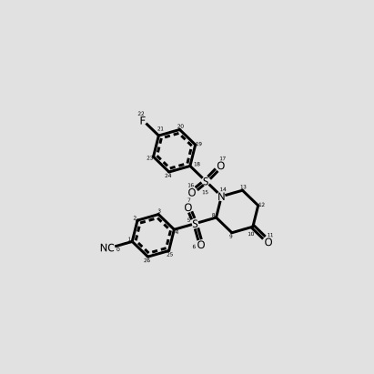 N#Cc1ccc(S(=O)(=O)C2CC(=O)CCN2S(=O)(=O)c2ccc(F)cc2)cc1